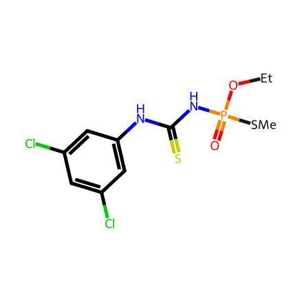 CCOP(=O)(NC(=S)Nc1cc(Cl)cc(Cl)c1)SC